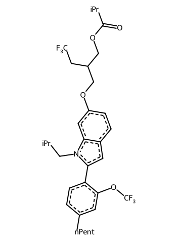 CCCCCc1ccc(-c2cc3ccc(OCC(COC(=O)C(C)C)CC(F)(F)F)cc3n2CC(C)C)c(OC(F)(F)F)c1